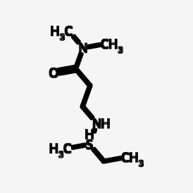 CC[SH](C)NCCC(=O)N(C)C